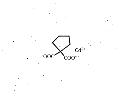 O=C([O-])C1(C(=O)[O-])CCCC1.[Cd+2]